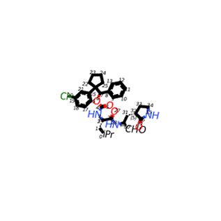 CC(C)C[C@H](NC(=O)OC(c1ccccc1)C1(c2cccc(Cl)c2)CCCC1)C(=O)N[C@H](C=O)C[C@@H]1CCNC1=O